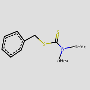 CCCCCCN(CCCCCC)C(=S)SCc1ccccc1